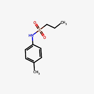 CCCS(=O)(=O)Nc1ccc(C)cc1